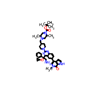 C[C@@H]1CN(CC2CCN(c3nc(C(CN)(OC4CC4)c4ccccc4)c4cc(-c5cn(C)c(=O)c6[nH]ccc56)ccc4n3)CC2)[C@@H](C)CN1C(=O)OC(C)(C)C